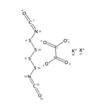 O=C([O-])C(=O)[O-].O=C=NSSSSN=C=O.[K+].[K+]